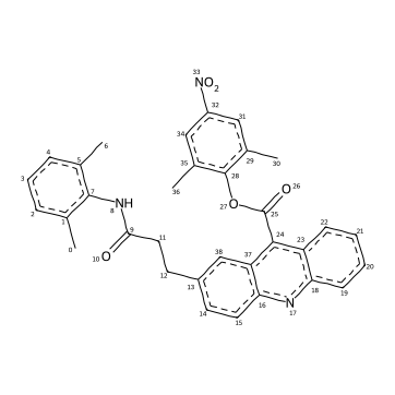 Cc1cccc(C)c1NC(=O)CCc1ccc2nc3ccccc3c(C(=O)Oc3c(C)cc([N+](=O)[O-])cc3C)c2c1